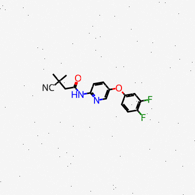 CC(C)(C#N)CC(=O)Nc1ccc(Oc2ccc(F)c(F)c2)cn1